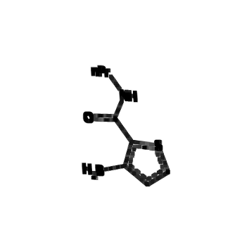 Bc1ccsc1C(=O)NCCC